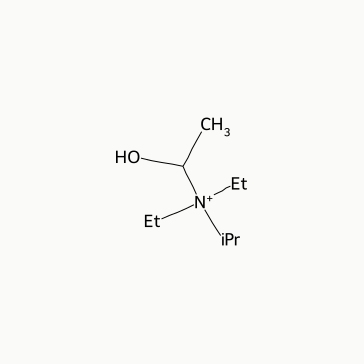 CC[N+](CC)(C(C)C)C(C)O